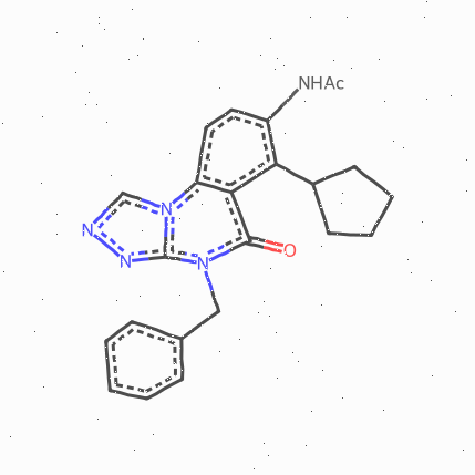 CC(=O)Nc1ccc2c(c1C1CCCC1)c(=O)n(Cc1ccccc1)c1nncn21